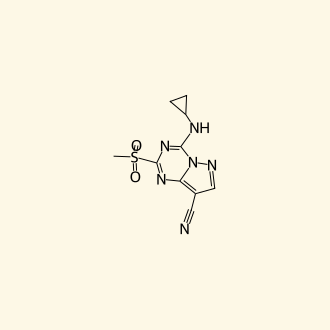 CS(=O)(=O)c1nc(NC2CC2)n2ncc(C#N)c2n1